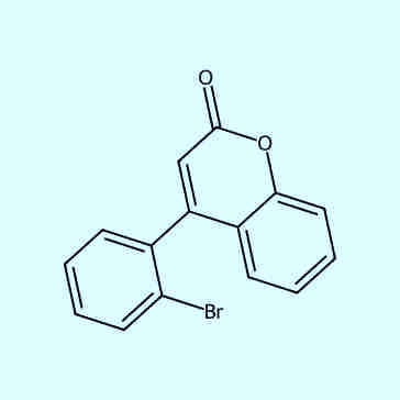 O=c1cc(-c2ccccc2Br)c2ccccc2o1